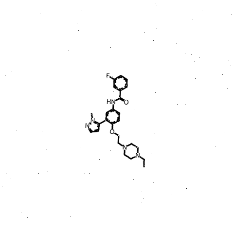 CCN1CCN(CCOc2ccc(NC(=O)c3cccc(F)c3)cc2-c2ccnn2C)CC1